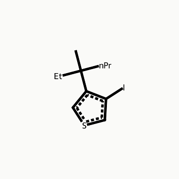 CCCC(C)(CC)c1cscc1I